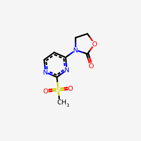 CS(=O)(=O)c1nccc(N2CCOC2=O)n1